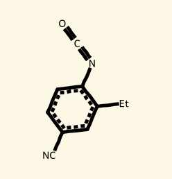 CCc1cc(C#N)ccc1N=C=O